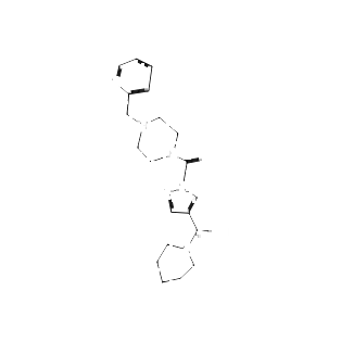 O=C(N1CCN(Cc2ccccn2)CC1)n1cc([C@@H](O)N2CCCCC2)cn1